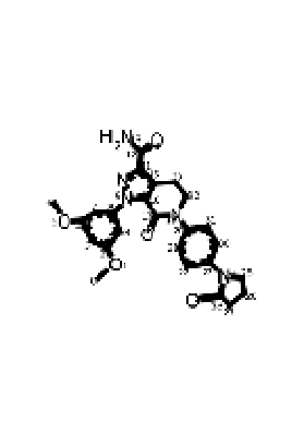 COc1cc(OC)cc(-n2nc(C(N)=O)c3c2C(=O)N(c2ccc(N4CCCC4=O)cc2)CC3)c1